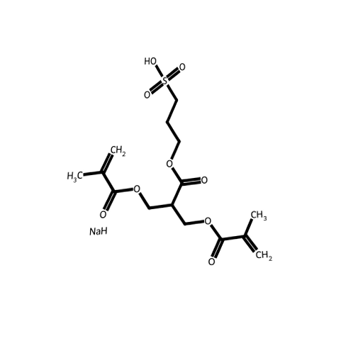 C=C(C)C(=O)OCC(COC(=O)C(=C)C)C(=O)OCCCS(=O)(=O)O.[NaH]